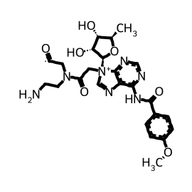 COc1ccc(C(=O)Nc2ncnc3c2N=C[N+]3(CC(=O)N(C[C]=O)CCN)[C@@H]2O[C@H](C)[C@@H](O)[C@H]2O)cc1